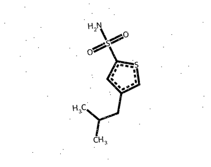 CC(C)Cc1csc(S(N)(=O)=O)c1